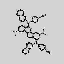 CC(C)c1ccc2c(N(c3ccc(C#N)cc3)c3ccc4ccccc4c3)cc3c4cc(C(C)C)cc(N(c5ccc(C#N)cc5)c5ccc6ccccc6c5)c4ccc3c2c1